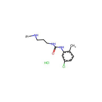 Cc1ccc(Cl)cc1NC(=O)NCCCNC(C)C.Cl